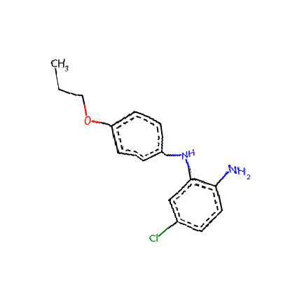 CCCOc1ccc(Nc2cc(Cl)ccc2N)cc1